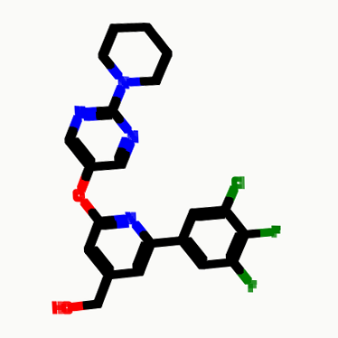 OCc1cc(Oc2cnc(N3CCCCC3)nc2)nc(-c2cc(F)c(F)c(Cl)c2)c1